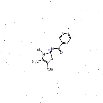 CCn1c(C)c(C(C)(C)C)s/c1=N\C(=O)c1cccnc1